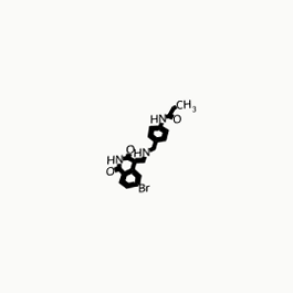 CCC(=O)Nc1ccc(CNC=C2C(=O)NC(=O)c3ccc(Br)cc32)cc1